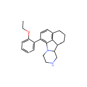 CCOc1ccccc1-c1ccc2c3c1N1CCNCC1C3CCC2